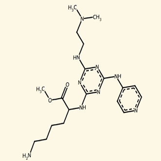 COC(=O)C(CCCCN)Nc1nc(NCCN(C)C)nc(Nc2ccncc2)n1